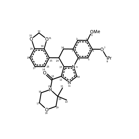 COc1cc2c(cc1OC(C)C)-n1cnc(C(=O)N3CCOCC3(C)C)c1C(c1cccc3c1OCO3)C2